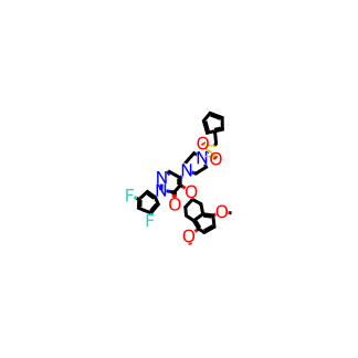 COc1ccc(OC)c2c1CCC(Oc1c(N3CCN(S(=O)(=O)Cc4ccccc4)CC3)cnn(-c3cc(F)cc(F)c3)c1=O)C2